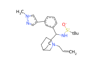 C=CCN1CC2CCC1(C(N[S+]([O-])C(C)(C)C)c1cccc(-c3cnn(C)c3)c1)CC2